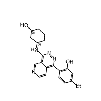 CCc1ccc(-c2nnc(N[C@@H]3CCC[C@H](O)C3)c3cnccc23)c(O)c1